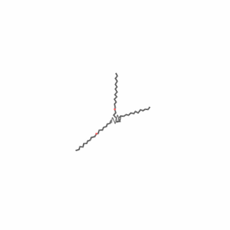 CCCCCCCCCCCCCCCCCCC[n+]1ccn(CCCCCCCCCCCCC)c1CCCCCCCCCCCCCCCCC